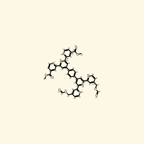 COC(=O)c1ccnc(-c2cc(-c3ccc(-c4cc(-c5cc(COC=O)ccn5)nc(-c5cc(COC=O)ccn5)c4)cc3)cc(-c3cc(C(=O)OC)ccn3)n2)c1